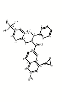 CN(c1ncccn1)N(Cc1ccc(C(F)(F)F)cn1)C(=O)c1ccc2nc(N)cc(C3CC3)c2c1